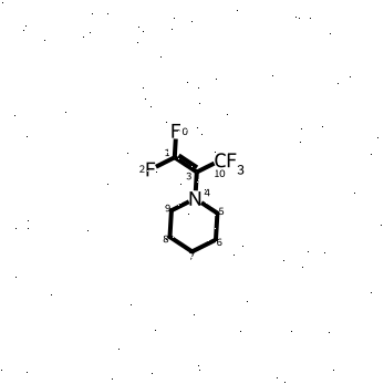 FC(F)=C(N1CCCCC1)C(F)(F)F